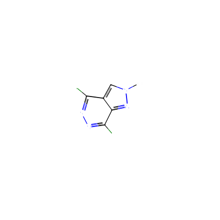 Cn1cc2c(Cl)nnc(Cl)c2n1